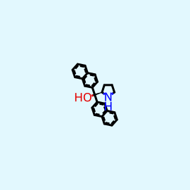 OC(c1ccc2ccccc2c1)(c1ccc2ccccc2c1)[C@H]1CCCN1